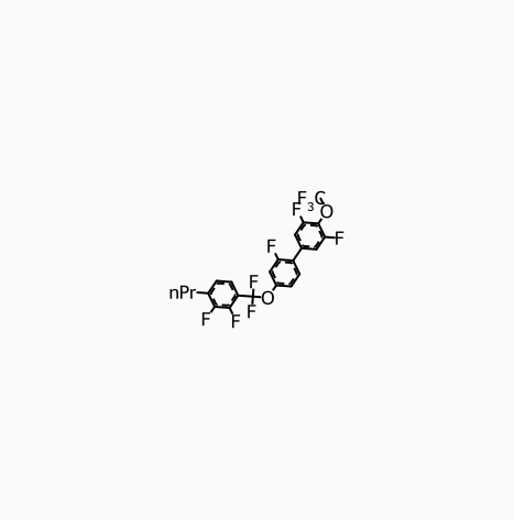 CCCc1ccc(C(F)(F)Oc2ccc(-c3cc(F)c(OC(F)(F)F)c(F)c3)c(F)c2)c(F)c1F